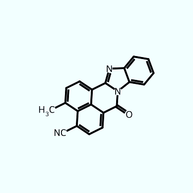 Cc1ccc2c3c1c(C#N)ccc3c(=O)n1c3ccccc3nc21